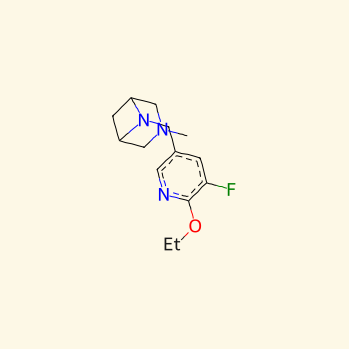 CCOc1ncc(CN2C3CC2CN(C)C3)cc1F